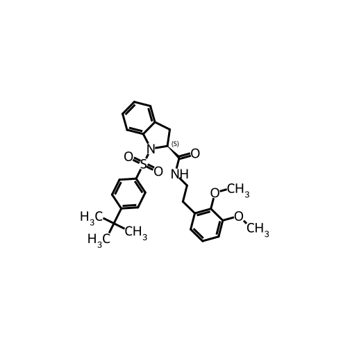 COc1cccc(CCNC(=O)[C@@H]2Cc3ccccc3N2S(=O)(=O)c2ccc(C(C)(C)C)cc2)c1OC